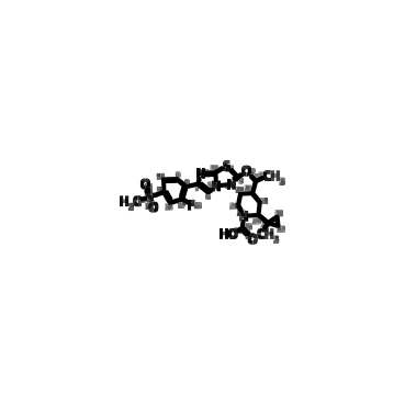 CC(Oc1nn2cc(-c3ccc(S(C)(=O)=O)cc3F)nc2s1)C1CCN(C(=O)O)C(C2(C)CC2)C1